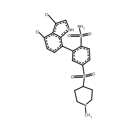 CN1CCC(S(=O)(=O)c2ccc(S(N)(=O)=O)c(-c3ccc(Cl)c4c(Cl)c[nH]c34)c2)CC1